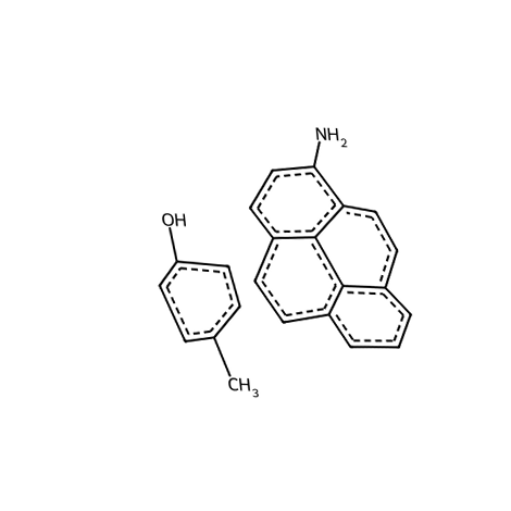 Cc1ccc(O)cc1.Nc1ccc2ccc3cccc4ccc1c2c34